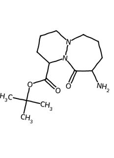 CC(C)(C)OC(=O)C1CCCN2CCCC(N)C(=O)N12